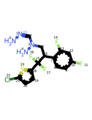 N/N=C\N(N)CC(c1ccc(F)cc1F)C(F)(F)c1ccc(Cl)s1